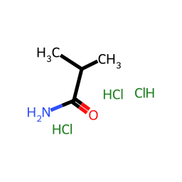 CC(C)C(N)=O.Cl.Cl.Cl